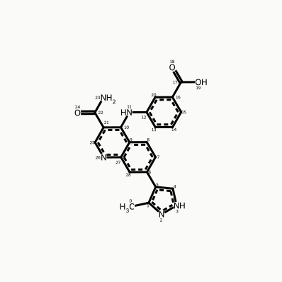 Cc1n[nH]cc1-c1ccc2c(Nc3cccc(C(=O)O)c3)c(C(N)=O)cnc2c1